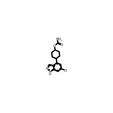 NC(=O)OC1CCC(c2cc(Cl)cc3[nH]ncc23)CC1